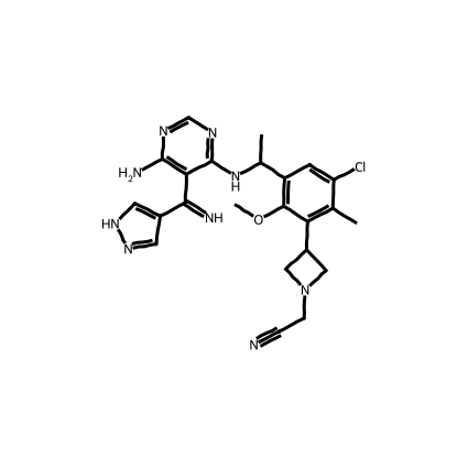 COc1c(C(C)Nc2ncnc(N)c2C(=N)c2cn[nH]c2)cc(Cl)c(C)c1C1CN(CC#N)C1